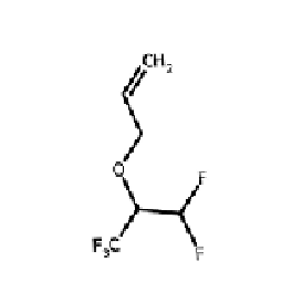 C=CCOC(C(F)F)C(F)(F)F